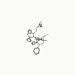 [CH2]CC(C)(C)CC(C(=O)NC1C(=O)COC1CCN(C)C)c1ccccc1